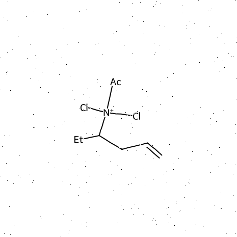 C=CCC(CC)[N+](Cl)(Cl)C(C)=O